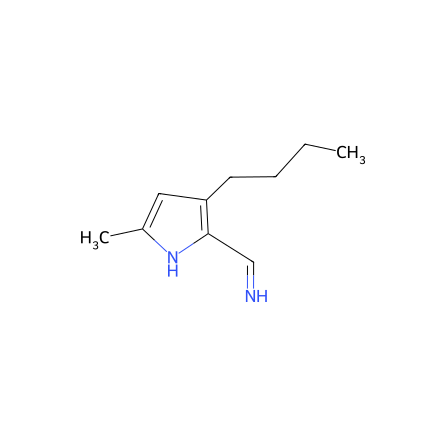 CCCCc1cc(C)[nH]c1C=N